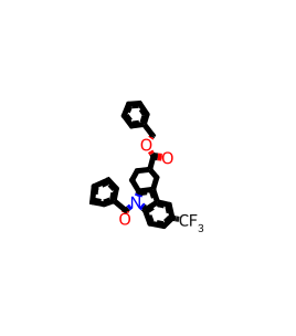 O=C(OCc1ccccc1)C1CCc2c(c3cc(C(F)(F)F)ccc3n2C(=O)c2ccccc2)C1